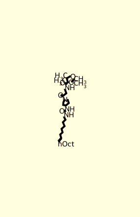 CCCCCCCC/C=C/CCCCCCCNC(=O)NC1CCN(C(=O)CCNC(=O)C2OC(C)(C)OCC2(C)C)CC1